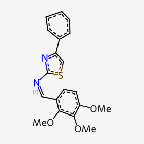 COc1ccc(/C=N\c2nc(-c3ccccc3)cs2)c(OC)c1OC